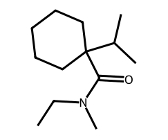 CCN(C)C(=O)C1(C(C)C)CCCCC1